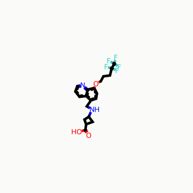 O=C(O)C1CC(NCc2ccc(OCCCC(F)(F)C(F)(F)F)c3ncccc23)C1